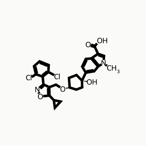 Cn1cc(C(=O)O)c2ccc([C@]3(O)CC[C@@H](OCc4c(-c5c(Cl)cccc5Cl)noc4C4CC4)CC3)cc21